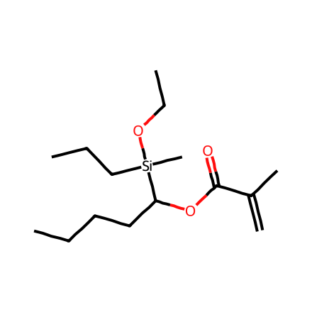 C=C(C)C(=O)OC(CCCC)[Si](C)(CCC)OCC